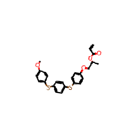 C=CC(=O)OC(C)COc1ccc(Sc2ccc(Sc3ccc(OC)cc3)cc2)cc1